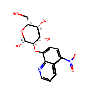 O=[N+]([O-])c1ccc(O[C@@H]2[C@@H](O)[C@@H](O)[C@@H](CO)O[C@H]2O)c2ncccc12